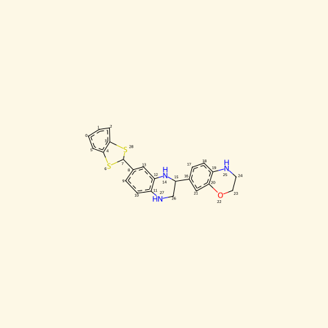 c1ccc2c(c1)SC(c1ccc3c(c1)NC(c1ccc4c(c1)OCCN4)CN3)S2